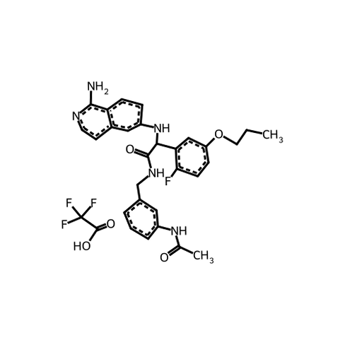 CCCOc1ccc(F)c(C(Nc2ccc3c(N)nccc3c2)C(=O)NCc2cccc(NC(C)=O)c2)c1.O=C(O)C(F)(F)F